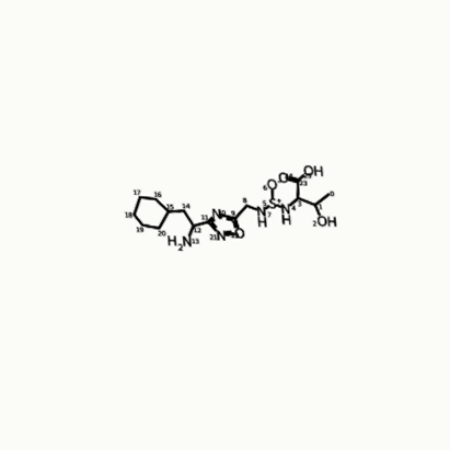 CC(O)C(N[S+]([O-])NCc1nc(C(N)CC2CCCCC2)no1)C(=O)O